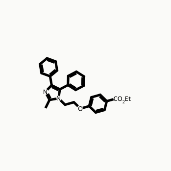 CCOC(=O)c1ccc(OCCn2c(C)nc(-c3ccccc3)c2-c2ccccc2)cc1